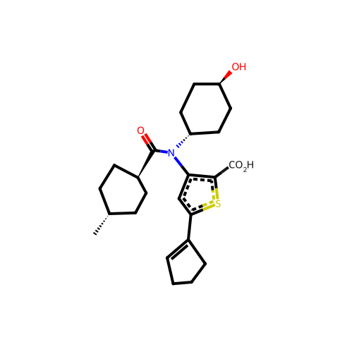 C[C@H]1CC[C@H](C(=O)N(c2cc(C3=CCCC3)sc2C(=O)O)[C@H]2CC[C@H](O)CC2)CC1